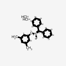 Cc1cc(C)cc([O][Ti]([F])=[C](c2ccccc2)c2ccccc2)c1.Cl.Cl